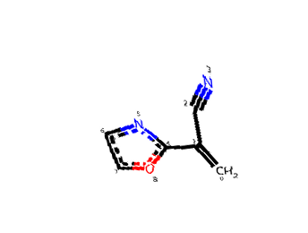 C=C(C#N)c1ncco1